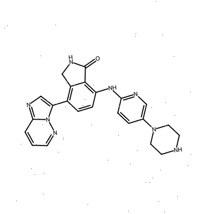 O=C1NCc2c(-c3cnc4cccnn34)ccc(Nc3ccc(N4CCNCC4)cn3)c21